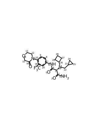 NC(=O)[C@@H](C(=O)Nc1ccc(N2CCOCC2=O)c(C(F)(F)F)c1)N(CC1CC1)C1CCC1